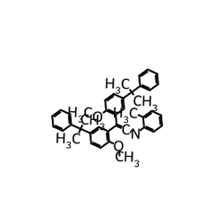 COc1ccc(C(C)(C)c2ccccc2)cc1C(=C=Nc1ccccc1C)c1cc(C(C)(C)c2ccccc2)ccc1OC